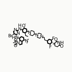 CCc1cc(Nc2ncc(Br)c(Nc3ccc(N(C)C)c4ccn(S(C)(=O)=O)c34)n2)c(OC)cc1N1CCC(N2CCN(CCc3cc(F)c([C@H]4CCC(=O)NC4=O)c(F)c3)CC2)CC1